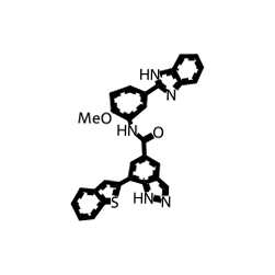 COc1ccc(-c2nc3ccccc3[nH]2)cc1NC(=O)c1cc(-c2cc3ccccc3s2)c2[nH]ncc2c1